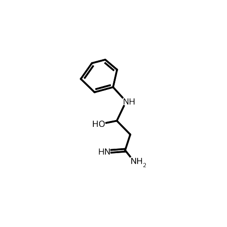 N=C(N)CC(O)Nc1ccccc1